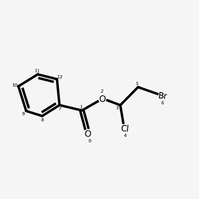 O=C(OC(Cl)CBr)c1ccccc1